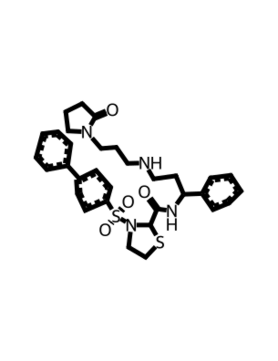 O=C(NC(CCNCCCN1CCCC1=O)c1ccccc1)C1SCCN1S(=O)(=O)c1ccc(-c2ccccc2)cc1